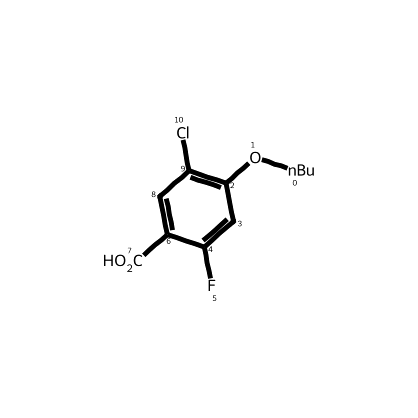 CCCCOc1cc(F)c(C(=O)O)cc1Cl